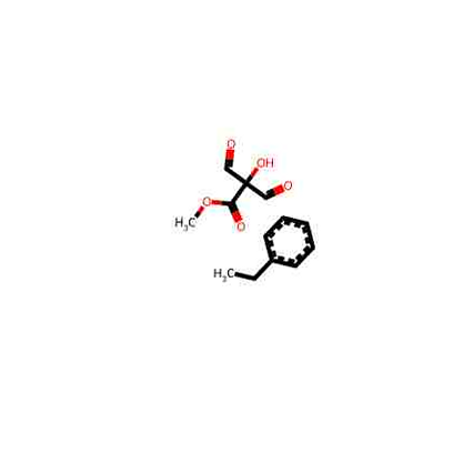 CCc1ccccc1.COC(=O)C(O)(C=O)C=O